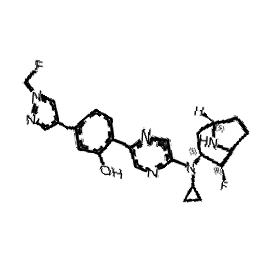 Oc1cc(-c2cnn(CF)c2)ccc1-c1cnc(N(C2CC2)[C@H]2C[C@@H]3CCC(N3)[C@H]2F)cn1